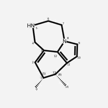 C[C@@H]1C=C2CNCCn3ccc(c32)[C@@H]1C